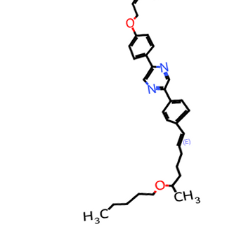 C=CCOc1ccc(-c2cnc(-c3ccc(/C=C/CCCC(C)OCCCCC)cc3)cn2)cc1